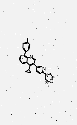 Cc1ccc(-c2cccc3c(C4CC4)c(-c4ccc(N5C[C@@H](C)O[C@@H](C)C5)nc4)cnc23)cc1